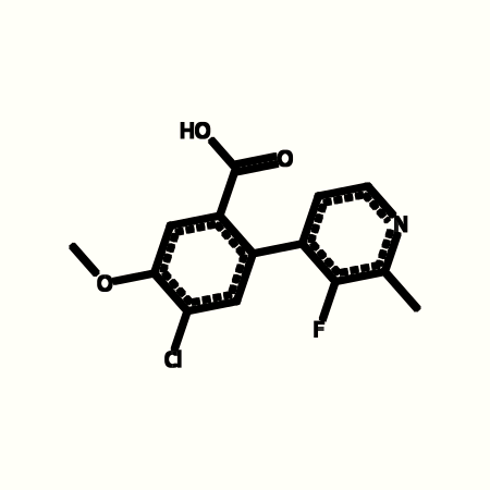 COc1cc(C(=O)O)c(-c2ccnc(C)c2F)cc1Cl